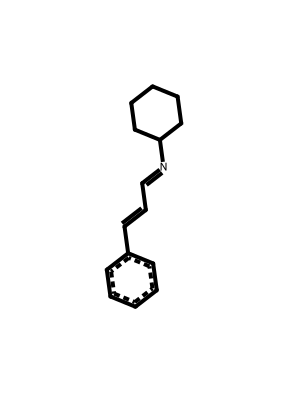 C(=Cc1ccccc1)C=NC1CCCCC1